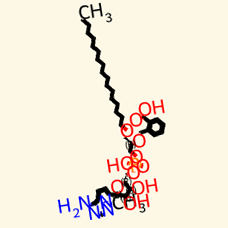 CCCCCCCCCCCCCCCCCCOC[C@H](COP(=O)(O)OC[C@H]1O[C@@](C)(c2ccc3c(N)ncnn23)[C@H](O)[C@@H]1O)OCc1ccccc1C(=O)O